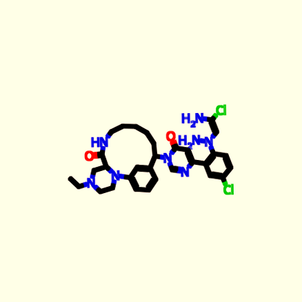 CCN1CCN2c3cccc(c3)C(n3cnc(-c4cc(Cl)ccc4N(N)/C=C(\N)Cl)cc3=O)CCCCCNC(=O)C2C1